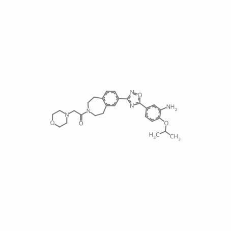 CC(C)Oc1ccc(-c2nc(-c3ccc4c(c3)CCN(C(=O)CN3CCOCC3)CC4)no2)cc1N